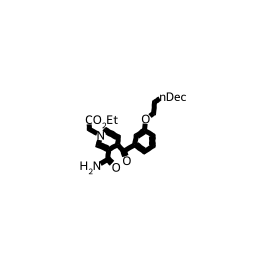 CCCCCCCCCCCCOc1cccc(C(=O)C2C=CN(CC(=O)OCC)C=C2C(N)=O)c1